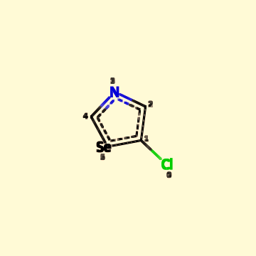 Clc1cnc[se]1